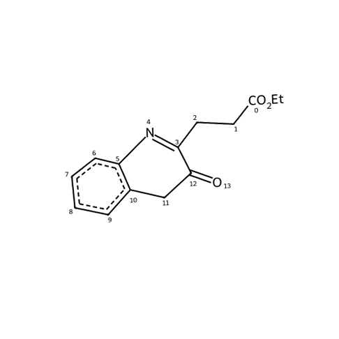 CCOC(=O)CCC1=Nc2ccccc2CC1=O